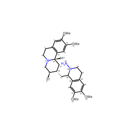 CC[C@H]1CN2CCc3cc(OC)c(OC)cc3[C@@H]2C[C@@H]1CC1c2cc(OC)c(OC)cc2CCN1N